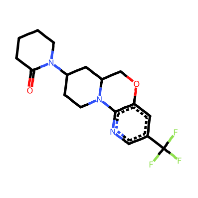 O=C1CCCCN1C1CCN2c3ncc(C(F)(F)F)cc3OCC2C1